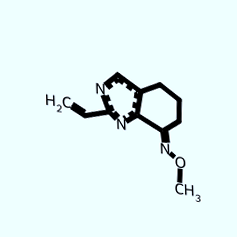 C=Cc1ncc2c(n1)/C(=N/OC)CCC2